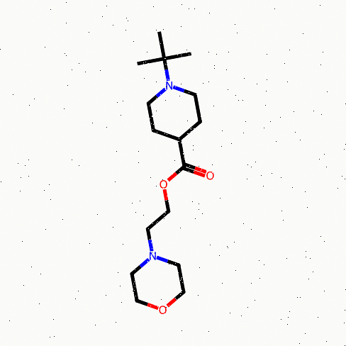 CC(C)(C)N1CCC(C(=O)OCCN2CCOCC2)CC1